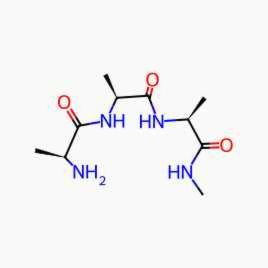 CNC(=O)[C@H](C)NC(=O)[C@H](C)NC(=O)[C@H](C)N